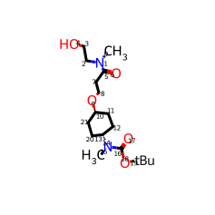 CN(CCO)C(=O)CCO[C@H]1CC[C@H](N(C)C(=O)OC(C)(C)C)CC1